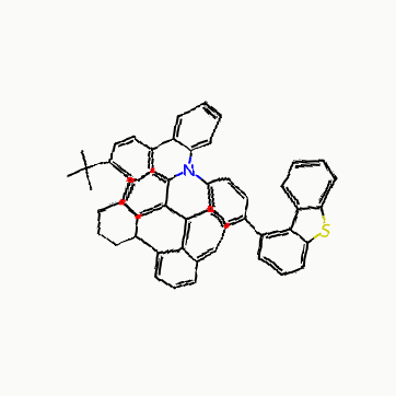 CC(C)(C)c1ccc(-c2ccccc2N(c2ccc(-c3cccc4sc5ccccc5c34)cc2)c2ccccc2-c2cccc3cccc(C4CCCCC4)c23)cc1